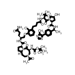 CC(=O)N1CC[C@H]2CC[C@@H](C(=O)N[C@@H](CCC(N)=O)COc3cccc(CCCC(=O)N[C@H](C(=O)N4C[C@H](O)C[C@H]4C(=O)N[C@@H](C)c4ccc(-c5scnc5C)cc4)C(C)(C)C)c3Cl)N2C(=O)[C@@H](NC(=O)OC(C)(C)C)C1